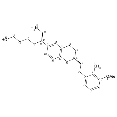 COc1cccc(CC[C@@H]2CCc3cc([C@H](CN)CCCCO)ccc3C2)c1C